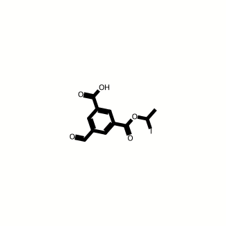 CC(I)OC(=O)c1cc(C=O)cc(C(=O)O)c1